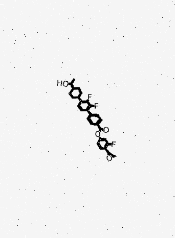 CC(O)C1CCC(c2ccc(-c3ccc(C(=O)Oc4ccc(C5CO5)c(F)c4)cc3)c(F)c2F)CC1